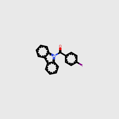 O=C(c1ccc(I)cc1)n1c2ccccc2c2ccccc21